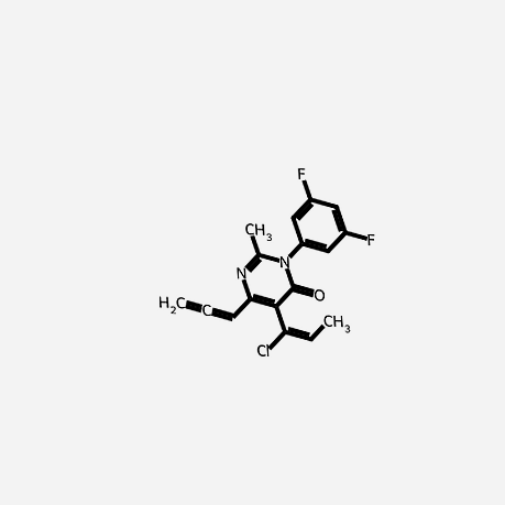 C=C=Cc1nc(C)n(-c2cc(F)cc(F)c2)c(=O)c1/C(Cl)=C\C